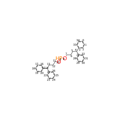 c1ccc(C(CCCOPOCCCC(c2ccccc2)c2ccccc2)c2ccccc2)cc1